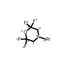 CC(C)N1CC(F)(F)OC(F)(F)C1